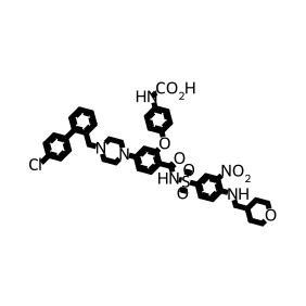 O=C(O)Nc1ccc(Oc2cc(N3CCN(Cc4ccccc4-c4ccc(Cl)cc4)CC3)ccc2C(=O)NS(=O)(=O)c2ccc(NCC3CCOCC3)c([N+](=O)[O-])c2)cc1